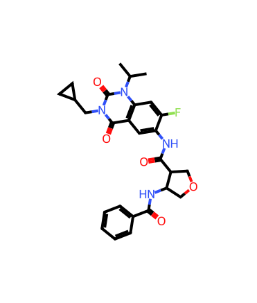 CC(C)n1c(=O)n(CC2CC2)c(=O)c2cc(NC(=O)C3COCC3NC(=O)c3ccccc3)c(F)cc21